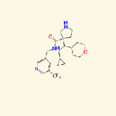 O=C(NCc1cncc(C(F)(F)F)c1)C1(C(CC2CC2)C2CCOCC2)CCNC1